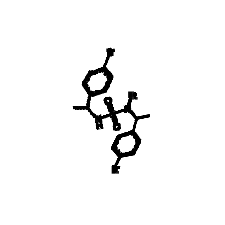 CCN(C(C)c1ccc(Br)cc1)S(=O)(=O)NC(C)c1ccc(Br)cc1